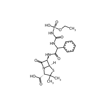 CCOP(=O)(O)NC(=O)NC(C(=O)N[C@@H]1C(=O)N2[C@@H]1SC(C)(C)[C@@H]2C(=O)O)c1ccccc1